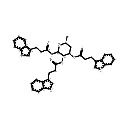 C[C@H]1[CH][C@@H](OC(=O)CCc2c[nH]c3ccccc23)[C@@H](OC(=O)CCc2c[nH]c3ccccc23)C(OC(=O)CCc2c[nH]c3ccccc23)O1